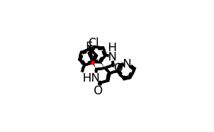 Cc1ccc(F)cc1[C@H]1NC(=O)C=C(c2cccnc2)[C@]12C(=O)Nc1cc(Cl)ccc12